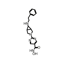 O=C(NO)c1cnc(N2CC3C(C2)C3NCCc2ccccc2)nc1